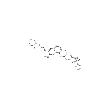 COc1cc2c(Oc3ccc(NS(=O)(=O)c4cccs4)cc3F)ccnc2cc1OCCCN1CCCCC1C